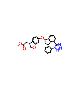 COC(=O)C[C@@H]1COc2cc(O[C@@H]3CCc4c(-c5nnnn5-c5ccccc5)cccc43)ccc21